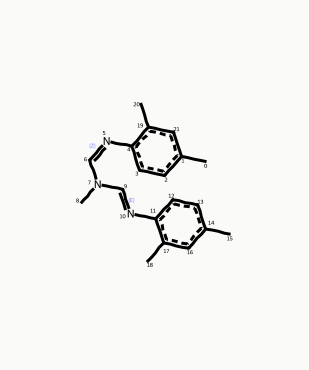 Cc1ccc(/N=C\N(C)/C=N/c2ccc(C)cc2C)c(C)c1